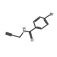 C#CCNC(=O)c1ccc(Br)cc1